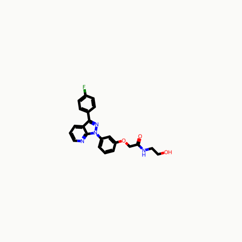 O=C(COc1cccc(-n2nc(-c3ccc(F)cc3)c3cccnc32)c1)NCCO